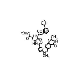 Cc1nc2ccc(CN(C)c3ccc(C(=O)N[C@@H](CCC(=O)OC(C)(C)C)C(=O)N[C@@H](Cc4cccc(C5CCCC5)c4)C(=O)O)s3)cc2c(=O)[nH]1